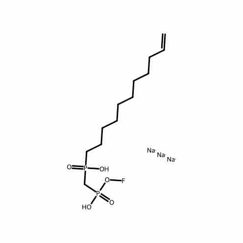 C=CCCCCCCCCCP(=O)(O)CP(=O)(O)OF.[Na].[Na].[Na]